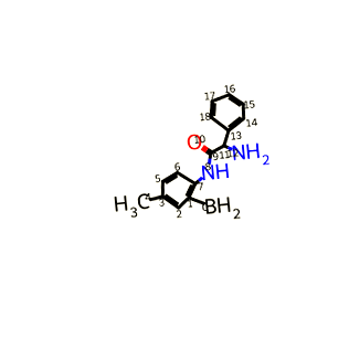 Bc1cc(C)ccc1NC(=O)C(N)c1ccccc1